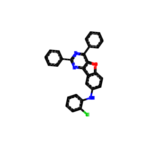 Clc1ccccc1Nc1ccc2oc3c(-c4ccccc4)nc(-c4ccccc4)nc3c2c1